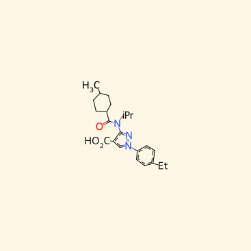 CCc1ccc(-n2cc(C(=O)O)c(N(C(=O)C3CCC(C)CC3)C(C)C)n2)cc1